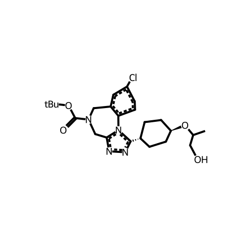 CC(CO)O[C@H]1CC[C@H](c2nnc3n2-c2ccc(Cl)cc2CN(C(=O)OC(C)(C)C)C3)CC1